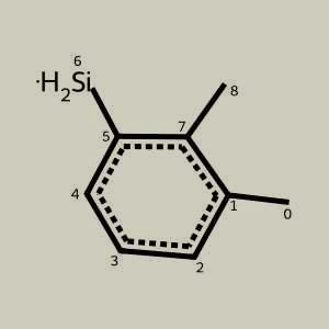 Cc1cccc([SiH2])c1C